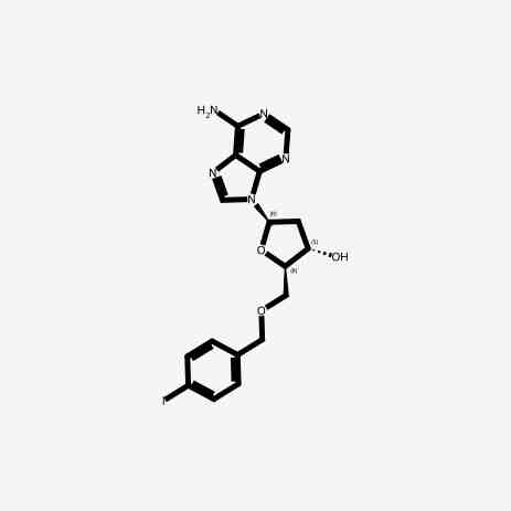 Nc1ncnc2c1ncn2[C@H]1C[C@H](O)[C@@H](COCc2ccc(I)cc2)O1